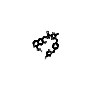 Cc1nc(C(=O)NCc2cc3ccnc(N)c3cc2F)nn1Cc1ccc(Cn2cc(F)cn2)cc1